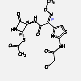 CO/N=C(\C(=O)N[C@@H]1C(=O)N[C@H]1SC(C)=O)c1csc(NC(=O)CCl)n1